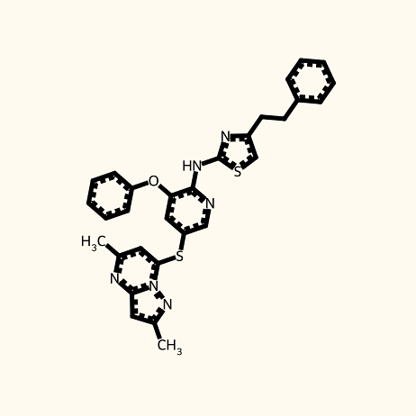 Cc1cc(Sc2cnc(Nc3nc(CCc4ccccc4)cs3)c(Oc3ccccc3)c2)n2nc(C)cc2n1